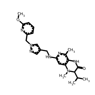 COc1cccc(Cn2cc(CNc3cc4c(c(C)n3)NC(=O)C(C(C)C)N4C)cn2)n1